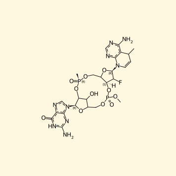 COP1(=O)OCC2O[C@@H](n3cnc4c(=O)[nH]c(N)nc43)C(O[P@](C)(=O)OCC3O[C@@H](N4C=CC(C)c5c(N)ncnc54)C(F)[C@H]3O1)C2O